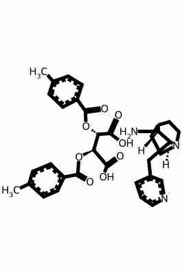 Cc1ccc(C(=O)O[C@H](C(=O)O)[C@H](OC(=O)c2ccc(C)cc2)C(=O)O)cc1.N[C@@H]1C2CCN(CC2)[C@H]1Cc1cccnc1